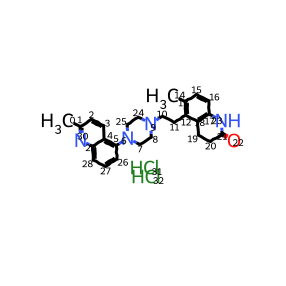 Cc1ccc2c(N3CCN(CCc4c(C)ccc5c4CCC(=O)N5)CC3)cccc2n1.Cl.Cl